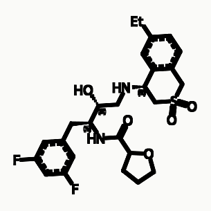 CCc1ccc2c(c1)[C@@H](NC[C@@H](O)[C@H](Cc1cc(F)cc(F)c1)NC(=O)C1CCCO1)CS(=O)(=O)C2